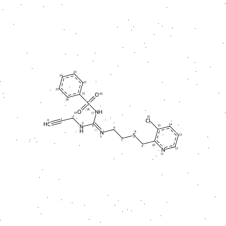 C#CCN/C(=N/CCSCc1ncccc1Cl)NS(=O)(=O)c1ccccc1